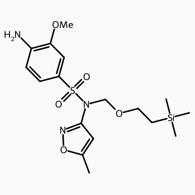 COc1cc(S(=O)(=O)N(COCC[Si](C)(C)C)c2cc(C)on2)ccc1N